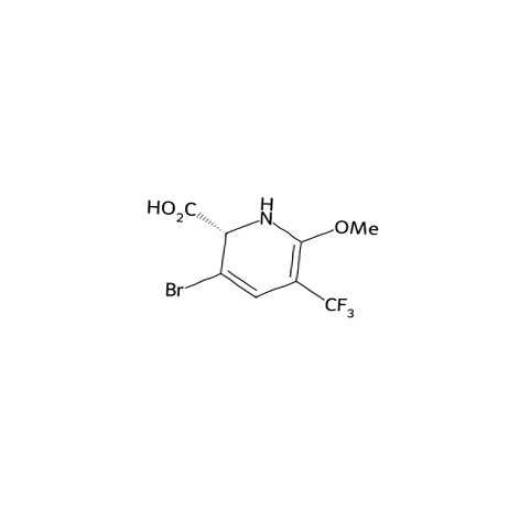 COC1=C(C(F)(F)F)C=C(Br)[C@H](C(=O)O)N1